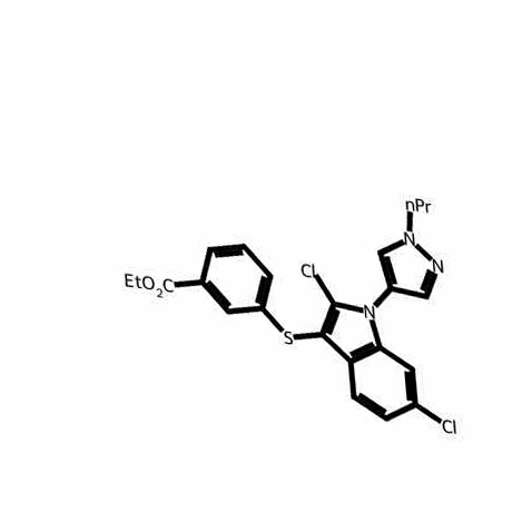 CCCn1cc(-n2c(Cl)c(Sc3cccc(C(=O)OCC)c3)c3ccc(Cl)cc32)cn1